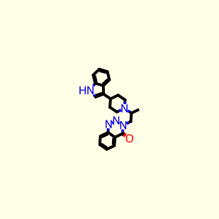 CC(Cn1nnc2ccccc2c1=O)N1CCC(c2c[nH]c3ccccc23)CC1